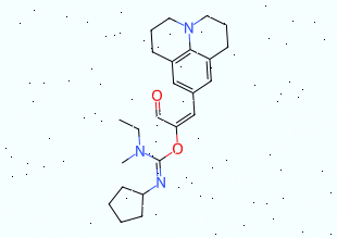 CCN(C)/C(=N\C1CCCC1)O/C(C=O)=C/c1cc2c3c(c1)CCCN3CCC2